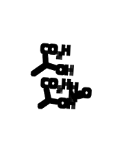 CC(O)C(=O)O.CC(O)C(=O)O.N=O